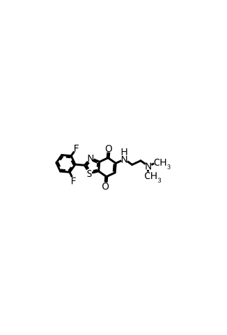 CN(C)CCNC1=CC(=O)c2sc(-c3c(F)cccc3F)nc2C1=O